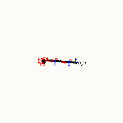 CCOC(=O)NCCCCCC(=O)NCCCOCCOCCCCCC(=O)NCCOCCOCCO[C@H]1OC(CO)(CO)CC(O)C1O